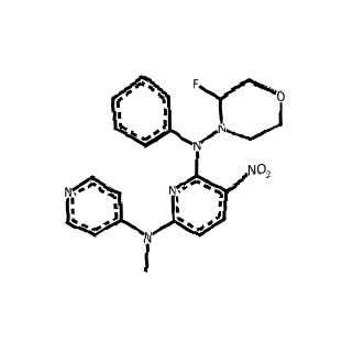 CN(c1ccncc1)c1ccc([N+](=O)[O-])c(N(c2ccccc2)N2CCOCC2F)n1